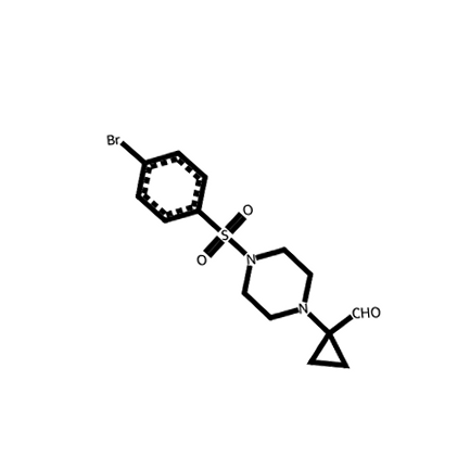 O=CC1(N2CCN(S(=O)(=O)c3ccc(Br)cc3)CC2)CC1